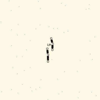 O=[Si]=O.[LiH].[O]=[Ti]=[O]